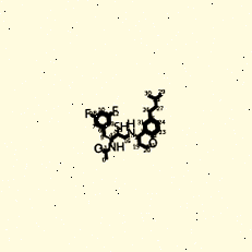 CC(=O)N[C@@H](Cc1cc(F)cc(F)c1)[C@@H](S)CN[C@H]1CCOc2ccc(CCC(C)C)cc21